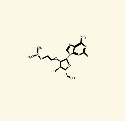 CN(C)OCCO[C@@H]1[C@H](O)[C@@H](CO)O[C@H]1n1cnc2c(N)nc(F)nc21